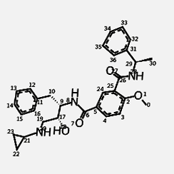 COc1ccc(C(=O)N[C@@H](Cc2ccccc2)[C@H](O)CNC2CC2)cc1C(=O)N[C@H](C)c1ccccc1